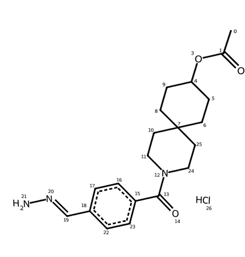 CC(=O)OC1CCC2(CC1)CCN(C(=O)c1ccc(C=NN)cc1)CC2.Cl